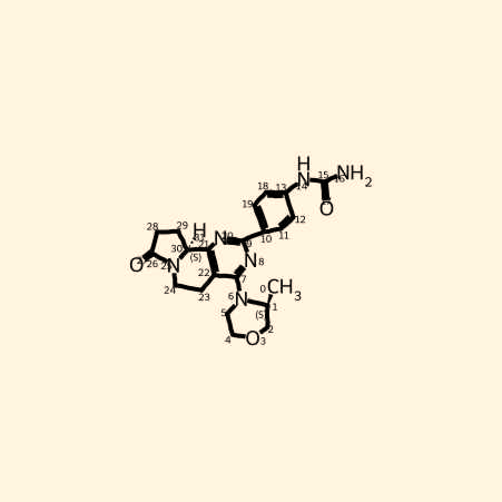 C[C@H]1COCCN1c1nc(-c2ccc(NC(N)=O)cc2)nc2c1CCN1C(=O)CC[C@@H]21